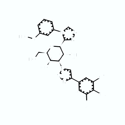 CSc1cccc(-n2cnnc2[C@@H]2O[C@H](CO)[C@H](O)[C@H](n3cc(-c4cc(F)c(F)c(F)c4)nn3)[C@H]2O)c1